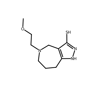 COCCN1CCCc2[nH]nc(S)c2C1